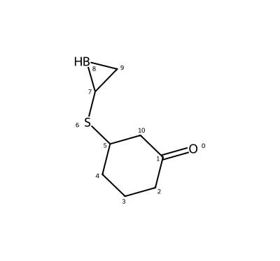 O=C1CCCC(SC2BC2)C1